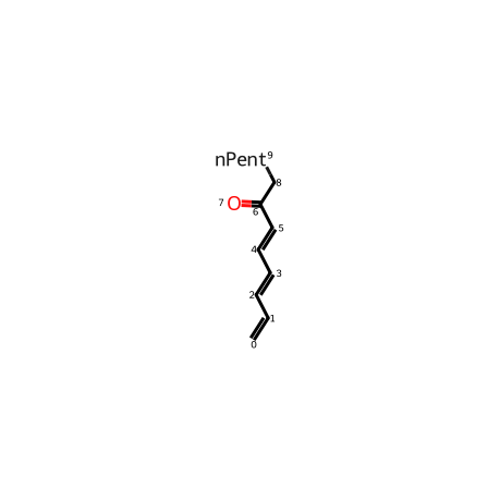 C=CC=CC=CC(=O)CCCCCC